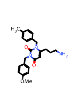 COc1ccc(Cn2c(=O)cc(CCCN)n(Cc3ccc(C)cc3)c2=O)cc1